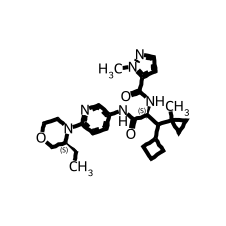 CC[C@H]1COCCN1c1ccc(NC(=O)[C@@H](NC(=O)c2ccnn2C)C(C2CCC2)C2(C)CC2)cn1